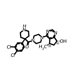 C[C@@H]1C[C@@H](O)c2ncnc(N3CCN(C(=O)C4(c5ccc(Cl)c(Cl)c5)CCNCC4)CC3)c21